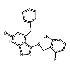 O=c1cc(Cc2ccccc2)n2c(SCc3c(F)cccc3Cl)nnc2[nH]1